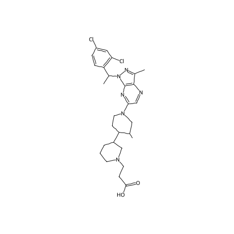 Cc1nn(C(C)c2ccc(Cl)cc2Cl)c2nc(N3CCC(C4CCCN(CCC(=O)O)C4)C(C)C3)cnc12